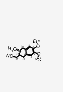 CCOc1cc2c(cc1OCC)CN(C)C(CC#N)C2